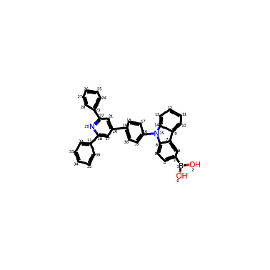 OB(O)c1ccc2c(c1)c1ccccc1n2-c1ccc(-c2cc(-c3ccccc3)nc(-c3ccccc3)c2)cc1